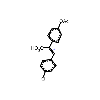 CC(=O)Oc1ccc(/C(=C/c2ccc(Cl)cc2)C(=O)O)cc1